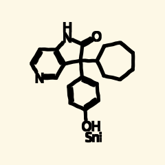 O=C1Nc2ccncc2C1(c1ccc(O)cc1)C1CCCCCC1.[Sn]